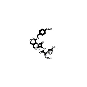 CO/N=C(/C(=O)NC1C(=O)N2C(C(=O)OCc3ccc(OC)cc3)=C(CCl)CS[C@H]12)N1C=C(N)SN1